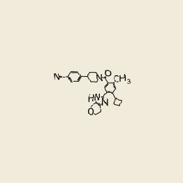 Cc1cc(C2CCC2)c(-c2nc3c([nH]2)COCC3)cc1C(=O)N1CCC(c2ccc(C#N)cc2)CC1